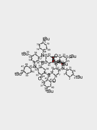 CC(C)(C)c1ccc(N2c3cc4c(cc3B3c5cc(C(C)(C)C)ccc5Oc5cc(C(C)(C)C)cc2c53)B2c3cc5c(cc3Oc3cc(C(C)(C)C)cc(c32)O4)N(c2ccc(C(C)(C)C)cc2)c2cc(C(C)(C)C)cc3c2B5c2cc(C(C)(C)C)ccc2N3c2ccc(C(C)(C)C)cc2)cc1